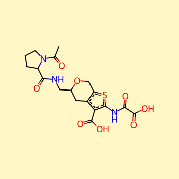 CC(=O)N1CCCC1C(=O)NCC1Cc2c(sc(NC(=O)C(=O)O)c2C(=O)O)CO1